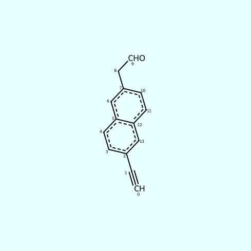 C#Cc1ccc2cc(CC=O)ccc2c1